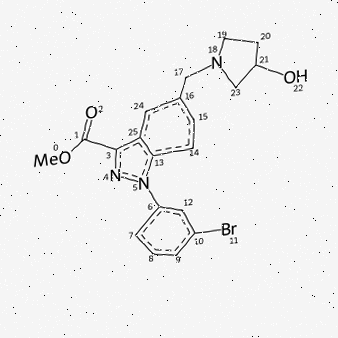 COC(=O)c1nn(-c2cccc(Br)c2)c2ccc(CN3CCC(O)C3)cc12